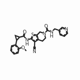 COc1ccccc1C1CC1C(=O)Nc1sc2c(c1C#N)CCN(C(=O)NCc1cccnc1)C2